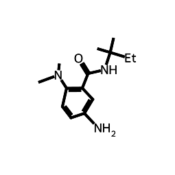 CCC(C)(C)NC(=O)c1cc(N)ccc1N(C)C